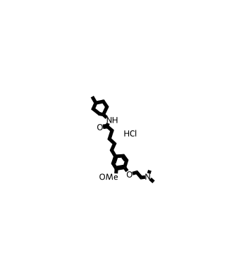 COc1cc(CCCCC(=O)NC2CCC(C)CC2)ccc1OCCN(C)C.Cl